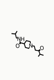 CC(C)CNC(=O)C1CCN(CCC(=O)C(C)C)CC1